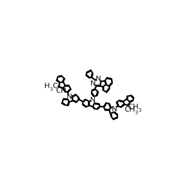 CC1(C)c2ccccc2-c2ccc(-n3c4ccccc4c4cc(-c5ccc6c7ccc(-c8ccc9c(c8)c8ccccc8n9-c8ccc9c(c8)C(C)(C)c8ccccc8-9)cc7n(-c7ccc(-c8nc(-c9ccccc9)nc9c8-c8cccc%10cccc-9c8%10)cc7)c6c5)ccc43)cc21